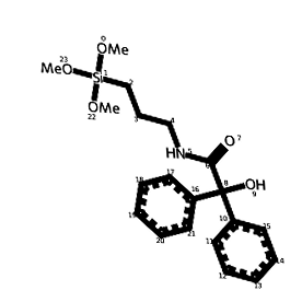 CO[Si](CCCNC(=O)C(O)(c1ccccc1)c1ccccc1)(OC)OC